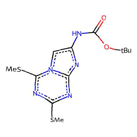 CSc1nc(SC)n2cc(NC(=O)OC(C)(C)C)nc2n1